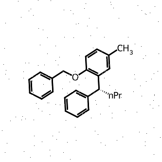 CCC[C@H](c1ccccc1)c1cc(C)ccc1OCc1ccccc1